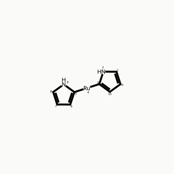 c1c[nH][c]([Ru][c]2ccc[nH]2)c1